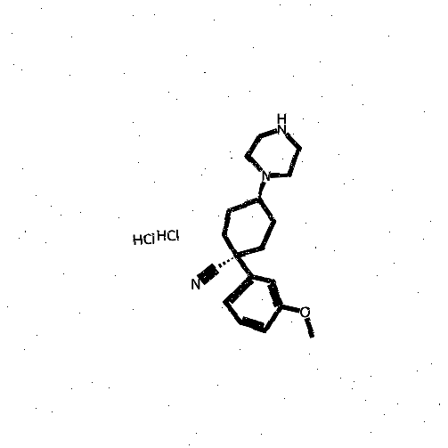 COc1cccc([C@]2(C#N)CC[C@H](N3CCNCC3)CC2)c1.Cl.Cl